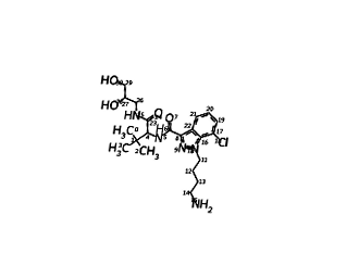 CC(C)(C)C(NC(=O)c1nn(CCCCN)c2c(Cl)cccc12)C(=O)NCC(O)CO